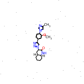 COc1cc(-c2cn(C3C[C@@H]4CCCC[C@@H]4NC3=O)nn2)ccc1-n1cnc(C)c1